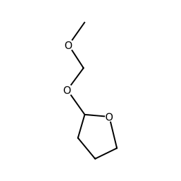 COCOC1CCCO1